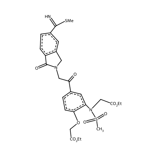 CCOC(=O)COc1ccc(C(=O)CN2Cc3cc(C(=N)SC)ccc3C2=O)cc1N(CC(=O)OCC)S(C)(=O)=O